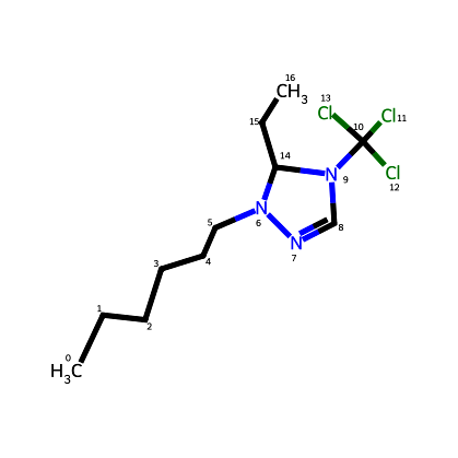 CCCCCCN1N=CN(C(Cl)(Cl)Cl)C1CC